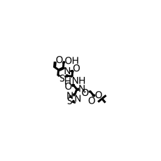 C=CC1=C(C(=O)O)N2C(=O)C(NC(=O)C(=NOCC(=O)OC(C)(C)C)c3ncsn3)[C@@H]2SC1